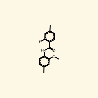 COc1cc(C)ccc1NC(=O)c1ccc(C)cc1F